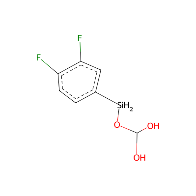 OC(O)O[SiH2]c1ccc(F)c(F)c1